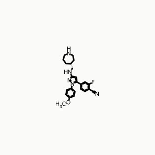 COc1ccc(-n2nc(NC[C@@H]3CCCNCC3)cc2-c2ccc(C#N)c(F)c2)cc1